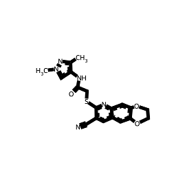 Cc1nn(C)cc1NC(=O)CSc1nc2cc3c(cc2cc1C#N)OCCO3